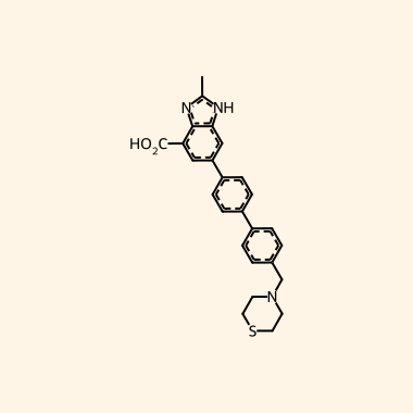 Cc1nc2c(C(=O)O)cc(-c3ccc(-c4ccc(CN5CCSCC5)cc4)cc3)cc2[nH]1